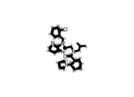 CC(C)CN(Cc1nc2cccnc2n1Cc1ccccc1Cl)C(=O)c1ccccc1-n1cccc1